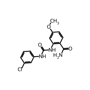 COc1ccc(C(N)=O)c(NC(=O)Nc2cccc(Cl)c2)c1